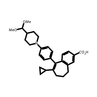 COC(OC)C1CCN(c2ccc(C3=C(C4CC4)CCCc4cc(C(=O)O)ccc43)cc2)CC1